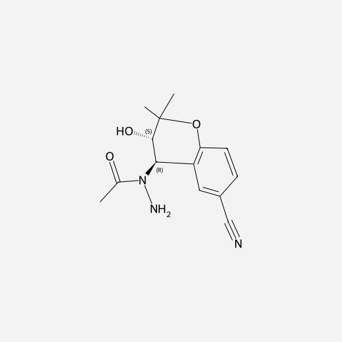 CC(=O)N(N)[C@@H]1c2cc(C#N)ccc2OC(C)(C)[C@H]1O